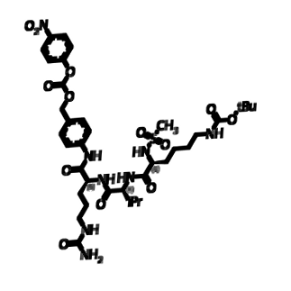 CC(C)[C@H](NC(=O)[C@H](CCCCNC(=O)OC(C)(C)C)NS(C)(=O)=O)C(=O)N[C@@H](CCCNC(N)=O)C(=O)Nc1ccc(COC(=O)Oc2ccc([N+](=O)[O-])cc2)cc1